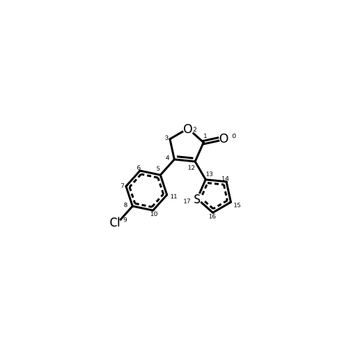 O=C1OCC(c2ccc(Cl)cc2)=C1c1cccs1